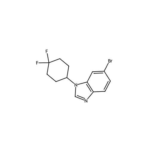 FC1(F)CCC(n2cnc3ccc(Br)cc32)CC1